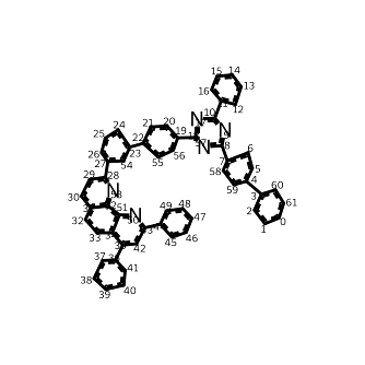 c1ccc(-c2ccc(-c3nc(-c4ccccc4)nc(-c4ccc(-c5cccc(-c6ccc7ccc8c(-c9ccccc9)cc(-c9ccccc9)nc8c7n6)c5)cc4)n3)cc2)cc1